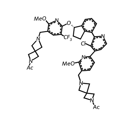 COc1nc(-c2ccnc(-c3cccc4c3CC[C@@H]4Oc3nc(OC)c(CN4CC5(C4)CN(C(C)=O)C5)cc3C(F)(F)F)c2Cl)ccc1CN1CC2(C1)CN(C(C)=O)C2